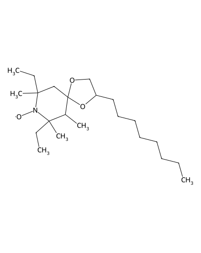 CCCCCCCCC1COC2(CC(C)(CC)N([O])C(C)(CC)C2C)O1